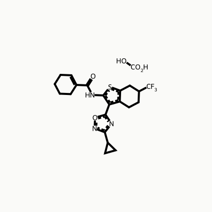 O=C(Nc1sc2c(c1-c1nc(C3CC3)no1)CCC(C(F)(F)F)C2)C1=CCCCC1.O=C(O)O